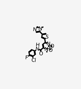 CN1C(C(=O)Nc2ccc(F)c(Cl)c2)=CC(c2cc(-c3cncn3C)cs2)=NS1(=O)=O